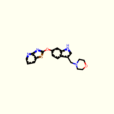 c1cnc2nc(Oc3ccc4c(CN5CCOCC5)c[nH]c4c3)sc2c1